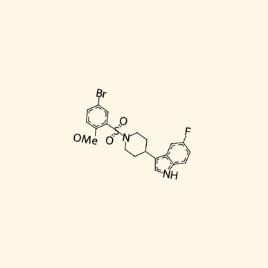 COc1ccc(Br)cc1S(=O)(=O)N1CCC(c2c[nH]c3ccc(F)cc23)CC1